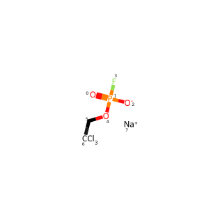 O=P([O-])(F)OCC(Cl)(Cl)Cl.[Na+]